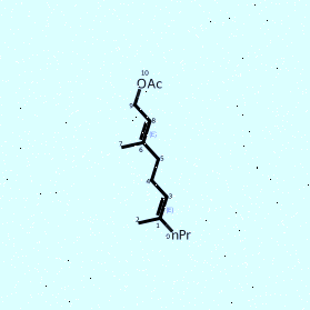 CCC/C(C)=C/CC/C(C)=C/COC(C)=O